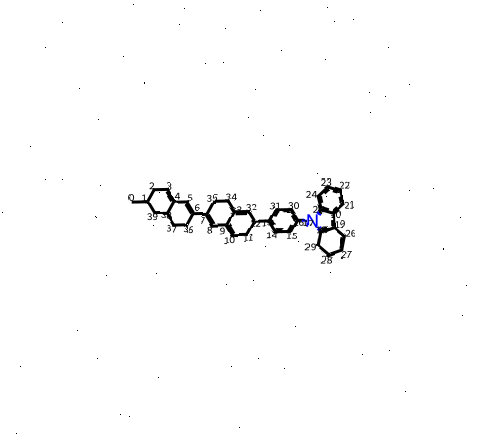 CC1CC=C2C=C(C3=CC4=CCC(c5ccc(-n6c7c(c8ccccc86)C=CCC7)cc5)C=C4CC3)CCC2C1